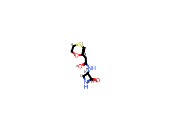 O=C(CC1=CSCCO1)NC1CNC1=O